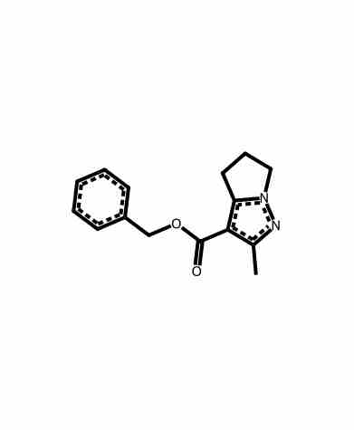 Cc1nn2c(c1C(=O)OCc1ccccc1)CCC2